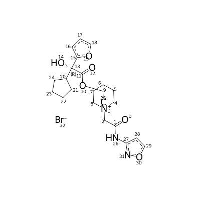 O=C(C[N+]12CCC(CC1)C(OC(=O)[C@](O)(c1ccco1)C1CCCC1)C2)Nc1ccon1.[Br-]